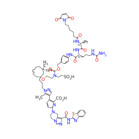 CCCC1(C)CCCCCC(CCCn2ncc(-c3ccc(N4CCn5cnc(C(=O)Nc6nc7ccccc7s6)c5C4)nc3C(=O)O)c2C)(OCCN(CCS(=O)(=O)O)C(=O)OCc2ccc(NC(=O)[C@H](CCCNC(N)=O)NC(=O)[C@@H](NC(=O)CCCCCN3C(=O)C=CC3=O)C(C)C)cc2)C1